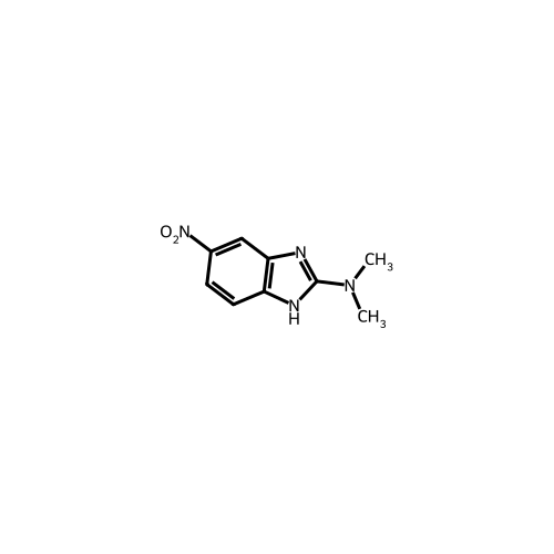 CN(C)c1nc2cc([N+](=O)[O-])ccc2[nH]1